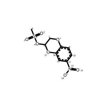 CS(=O)(=O)OC1COc2ccc([N+](=O)[O-])cc2O1